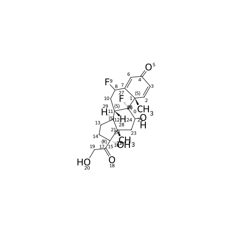 C[C@]12C=CC(=O)C=C1C(F)C[C@H]1[C@@H]3CC[C@](O)(C(=O)CO)[C@@]3(C)CC(O)[C@@]12F